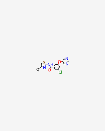 O=C(Nc1nc(C2CC2)cs1)c1cc(Cl)cc(Oc2cncnc2)c1